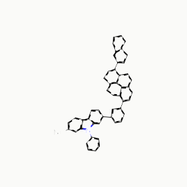 N#Cc1ccc2c3ccc(-c4cccc(-c5ccc6ccc7c(-c8ccc9ccccc9c8)ccc8ccc5c6c87)c4)cc3n(-c3ccccc3)c2c1